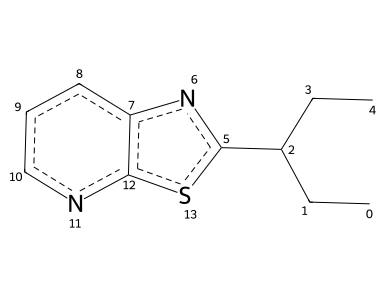 CCC(CC)c1nc2cccnc2s1